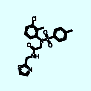 Cc1ccc(S(=O)(=O)N(CC(=O)NCc2nccs2)c2cccc(Cl)c2C)cc1